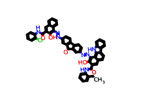 CCc1ccccc1NC(=O)c1cc2ccc3c4ccccc4[nH]c3c2c(N=Nc2ccc3c(c2)C(=O)c2cc(N=Nc4c(O)c(C(=O)Nc5ccccc5Cl)cc5ccccc45)ccc2-3)c1O